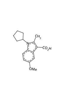 COc1ccc2c(c1)c(C(=O)O)c(C)n2C1CCCC1